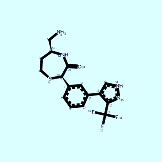 NC[C@@H]1CCS[C@H](c2cccc(-c3c[nH]nc3C(F)(F)F)c2)C(=O)N1